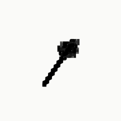 CCCCCCCCCCCCCCOC(=O)C(O)C(O)C(O)C(O)C(=O)O